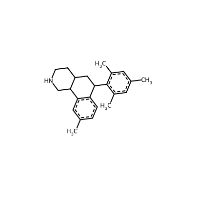 Cc1cc(C)c(C2CC3CCNCC3c3cc(C)ccc32)c(C)c1